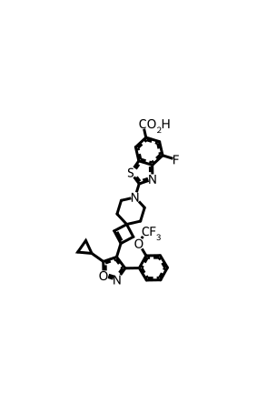 O=C(O)c1cc(F)c2nc(N3CCC4(C=C(c5c(-c6ccccc6OC(F)(F)F)noc5C5CC5)C4)CC3)sc2c1